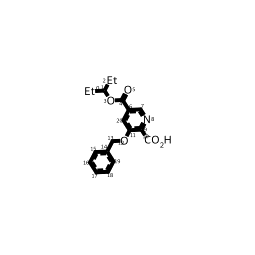 CCC(CC)OC(=O)c1cnc(C(=O)O)c(OCc2ccccc2)c1